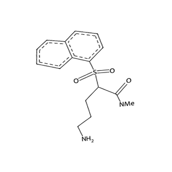 CNC(=O)C(CCCN)S(=O)(=O)c1cccc2ccccc12